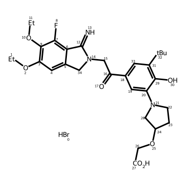 Br.CCOc1cc2c(c(F)c1OCC)C(=N)N(CC(=O)c1cc(N3CCC(OCC(=O)O)C3)c(O)c(C(C)(C)C)c1)C2